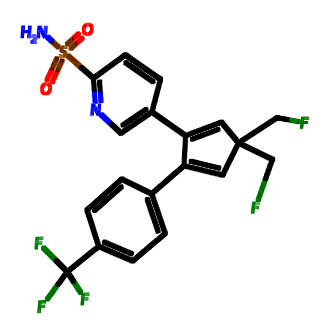 NS(=O)(=O)c1ccc(C2=CC(CF)(CF)C=C2c2ccc(C(F)(F)F)cc2)cn1